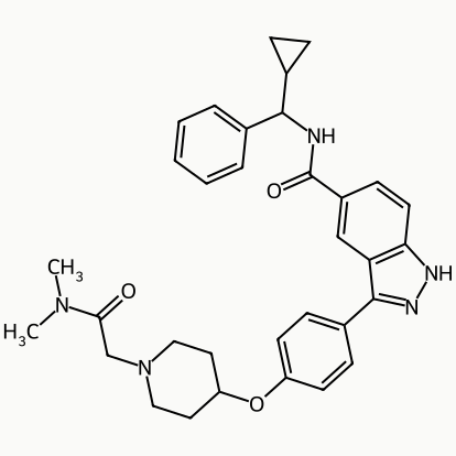 CN(C)C(=O)CN1CCC(Oc2ccc(-c3n[nH]c4ccc(C(=O)NC(c5ccccc5)C5CC5)cc34)cc2)CC1